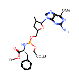 CCOC(=O)COP(N[C@H](Cc1ccccc1)C(=O)OC(C)C)OCC1CC(C)C(n2cnc3c(OC)nc(N)nc32)O1